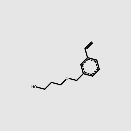 C=Cc1cccc(CSCCCO)c1